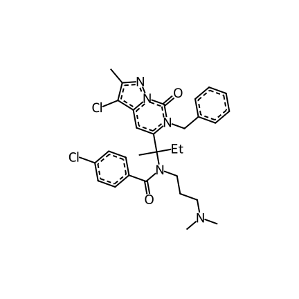 CCC(C)(c1cc2c(Cl)c(C)nn2c(=O)n1Cc1ccccc1)N(CCCN(C)C)C(=O)c1ccc(Cl)cc1